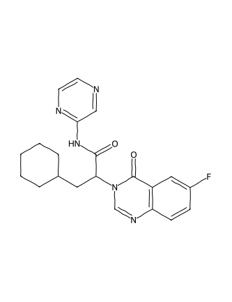 O=C(Nc1cnccn1)C(CC1CCCCC1)n1cnc2ccc(F)cc2c1=O